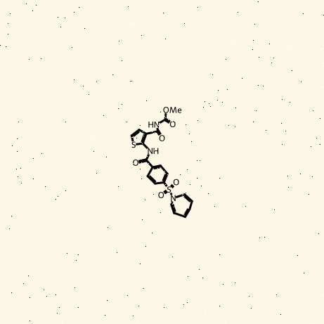 COC(=O)NC(=O)c1ccsc1NC(=O)c1ccc(S(=O)(=O)N2C=CC=CC=C2)cc1